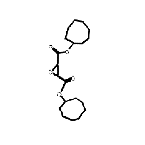 O=C(OC1CCCCCCC1)C1OC1C(=O)OC1CCCCCCC1